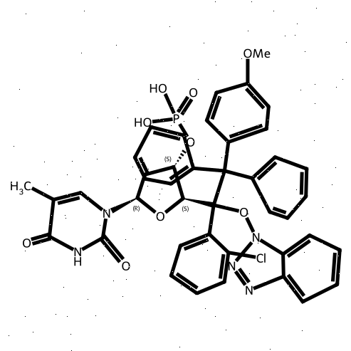 COc1ccc(C(c2ccccc2)(c2ccccc2)C(On2nnc3ccccc32)(c2ccccc2Cl)[C@H]2O[C@@H](n3cc(C)c(=O)[nH]c3=O)C[C@@H]2OP(=O)(O)O)cc1